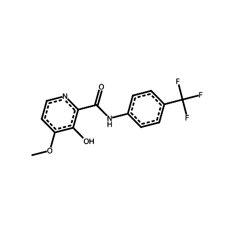 COc1ccnc(C(=O)Nc2ccc(C(F)(F)F)cc2)c1O